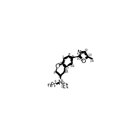 CCCN(CC)C1COc2ccc(-c3ncc(C)o3)cc2C1